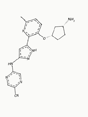 Cc1ccc(O[C@H]2CC[C@@H](N)C2)c(-c2cc(Nc3cnc(C#N)cn3)n[nH]2)n1